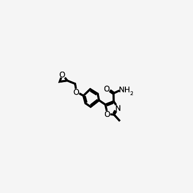 Cc1nc(C(N)=O)c(-c2ccc(OCC3CO3)cc2)o1